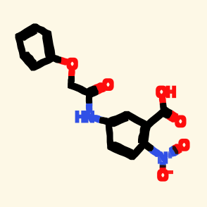 O=C(COc1ccccc1)Nc1ccc([N+](=O)[O-])c(C(=O)O)c1